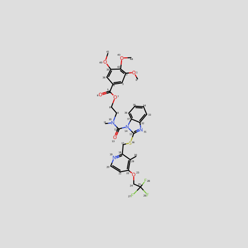 COc1cc(C(=O)OCCN(C)C(=O)n2c(SCc3nccc(OCC(F)(F)F)c3C)nc3ccccc32)cc(OC)c1OC